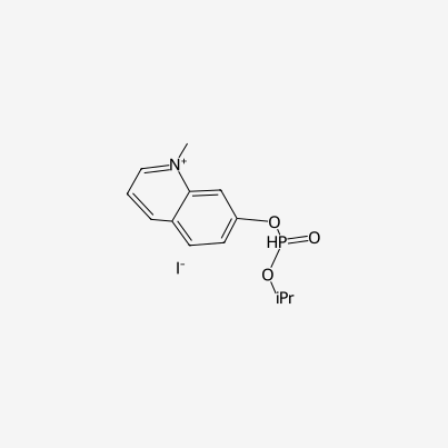 CC(C)O[PH](=O)Oc1ccc2ccc[n+](C)c2c1.[I-]